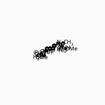 COC(=O)N[C@H](C(=O)N1[C@@H](C)CC[C@H]1c1nc2ccc3cc4c(cc3c2[nH]1)OCc1cc(-c2cnc([C@@H]3C[C@H](C)CN3C(=O)[C@@H](NC(O)OC)C(C)C)[nH]2)ccc1-4)C(C)C